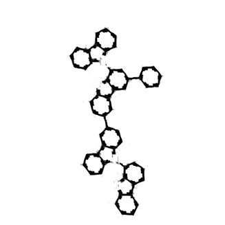 c1ccc(-c2cc(-n3c4ccccc4c4ccccc43)c3oc4ccc(-c5ccc6c(c5)c5ccccc5n6-c5cccc6c5sc5ccccc56)cc4c3c2)cc1